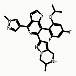 CC1Cn2nc(-c3nc(-c4cnn(C)c4)c4ccsc4c3-c3c(F)cc(F)cc3OC(C)C)cc2CN1